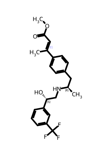 COC(=O)/C=C(\C)c1ccc(C[C@@H](C)NC[C@@H](O)c2cccc(C(F)(F)F)c2)cc1